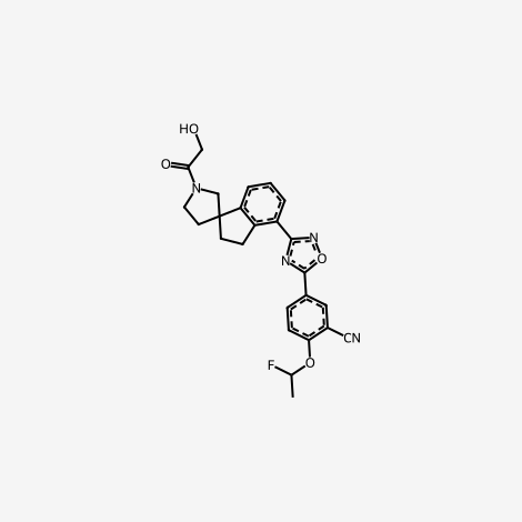 CC(F)Oc1ccc(-c2nc(-c3cccc4c3CCC43CCN(C(=O)CO)C3)no2)cc1C#N